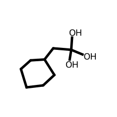 OC(O)(O)CC1CCCCC1